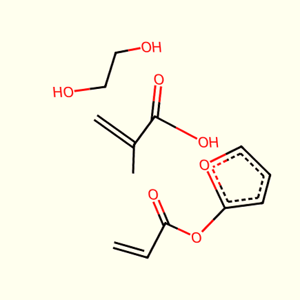 C=C(C)C(=O)O.C=CC(=O)Oc1ccco1.OCCO